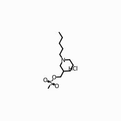 CCCCCN1CCCC(COS(C)(=O)=O)C1.Cl